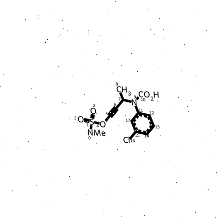 CNS(=O)(=O)OC#CC(C)N(C(=O)O)c1cccc(Cl)c1